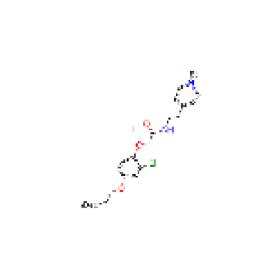 CCCCCCCCCCCCOc1ccc(OCC(=O)NCCc2cc[n+](CC)cc2)c(Cl)c1.[I-]